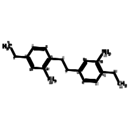 CCc1ccc(CCc2ccc(CC)c(P)c2)c(P)c1